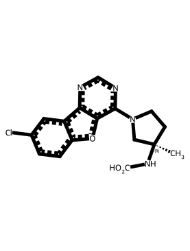 C[C@@]1(NC(=O)O)CCN(c2ncnc3c2oc2ccc(Cl)cc23)C1